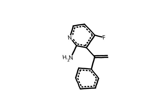 C=C(c1ccccc1)c1c(F)ccnc1N